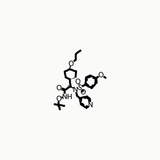 CCCO[C@H]1CC[C@H]([C@H](C(=O)NOC(C)(C)C)N(Cc2ccncc2)S(=O)(=O)c2ccc(OC)cc2)CC1